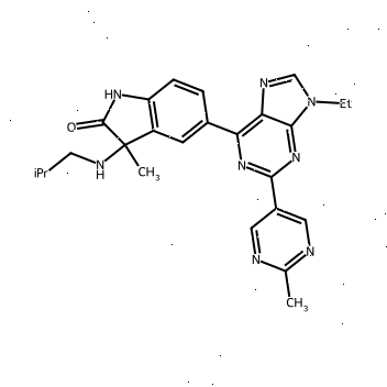 CCn1cnc2c(-c3ccc4c(c3)C(C)(NCC(C)C)C(=O)N4)nc(-c3cnc(C)nc3)nc21